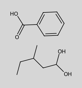 CCC(C)CC(O)O.O=C(O)c1ccccc1